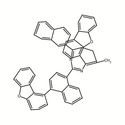 C\C1=C(c2cccc3c2oc2ccccc23)/N=C(c2ccc(-c3cccc4oc5ccccc5c34)c3ccccc23)\N=C(\c2ccc3ccccc3c2)CC1